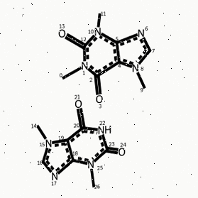 Cn1c(=O)c2c(ncn2C)n(C)c1=O.Cn1cnc2c1c(=O)[nH]c(=O)n2C